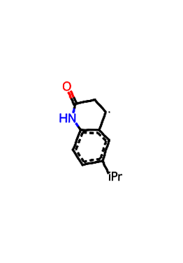 CC(C)c1ccc2c(c1)[CH]CC(=O)N2